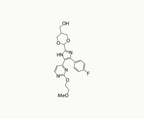 COCCOc1nccc(-c2[nH]c(C3OCC(CO)CO3)nc2-c2ccc(F)cc2)n1